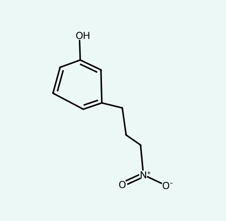 O=[N+]([O-])CCCc1cccc(O)c1